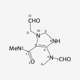 CNC(=O)C1=C(N(C)C=O)NCN1CC=O